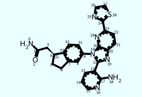 NC(=O)C[C@@H]1CCc2cc(-n3c(-c4cccnc4N)nc4ccc(-c5nccs5)nc43)ccc21